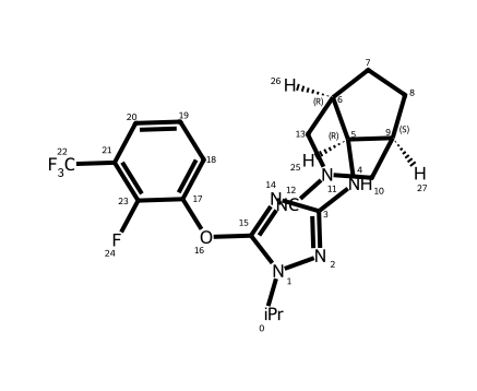 CC(C)n1nc(N[C@H]2[C@@H]3CC[C@H]2CN(C#N)C3)nc1Oc1cccc(C(F)(F)F)c1F